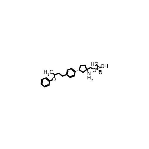 CC(CCc1ccc([C@@H]2CC[C@](N)(COP(=O)(O)O)C2)cc1)Oc1ccccc1